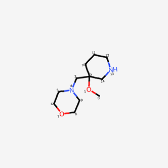 COC1(CN2CCOCC2)CCCNC1